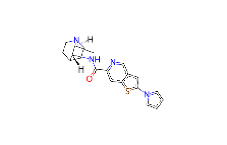 C[C@H]1[C@H](NC(=O)c2cc3sc(-n4cccc4)cc3cn2)C2CCN1CC2